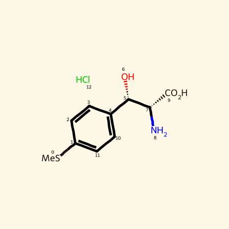 CSc1ccc([C@H](O)[C@@H](N)C(=O)O)cc1.Cl